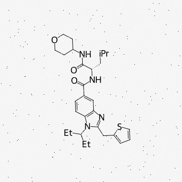 CCC(CC)n1c(Cc2cccs2)nc2cc(C(=O)N[C@@H](CC(C)C)C(=O)NC3CCOCC3)ccc21